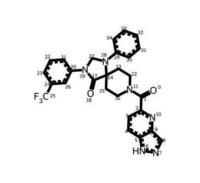 O=C(c1ccc2[nH]ncc2n1)N1CCC2(CC1)C(=O)N(c1cccc(C(F)(F)F)c1)CN2c1ccccc1